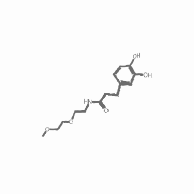 COCCOCCNC(=O)CCc1ccc(O)c(O)c1